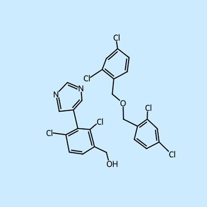 Clc1ccc(COCc2ccc(Cl)cc2Cl)c(Cl)c1.OCc1ccc(Cl)c(-c2cncnc2)c1Cl